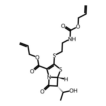 C=CCOC(=O)NCCSC1=C(C(=O)OCC=C)N2C(=O)[C@@H](C(C)O)[C@H]2S1